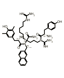 Cc1cc(C[C@H](N)C(=O)N([C@H](C)c2ccc3ccccc3c2)[C@@](CCCCCCNC(=N)N)(CCCN(C(=N)N)C(=O)[C@@H](N)Cc2ccc(O)cc2)C(N)=O)cc(C)c1O